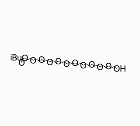 CCC(C)C(=O)OCCOCCOCCOCCOCCOCCOCCOCCOCCOCCOCCO